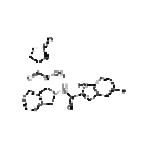 CN(C(=O)[C@@H]1CCC(=O)O1)[C@H]1c2ccccc2C[C@H]1NC(=O)c1cc2cc(F)ccc2[nH]1